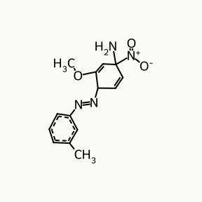 COC1=CC(N)([N+](=O)[O-])C=CC1/N=N/c1cccc(C)c1